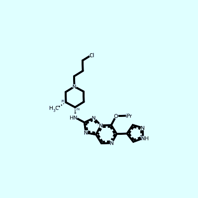 CC(C)Oc1c(-c2cn[nH]c2)ncc2nc(N[C@H]3CCN(CCCCl)C[C@H]3C)nn12